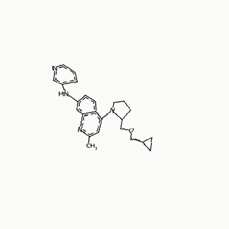 Cc1cc(N2CCCC2COCC2CC2)c2ccc(Nc3cccnc3)cc2n1